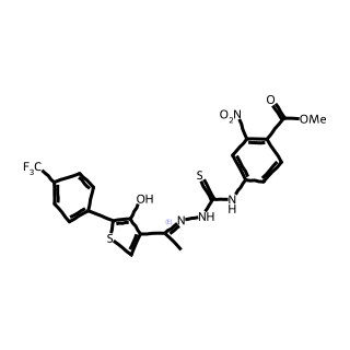 COC(=O)c1ccc(NC(=S)N/N=C(\C)c2csc(-c3ccc(C(F)(F)F)cc3)c2O)cc1[N+](=O)[O-]